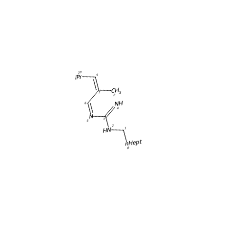 CCCCCCCCNC(=N)/N=C\C(C)=C/C(C)C